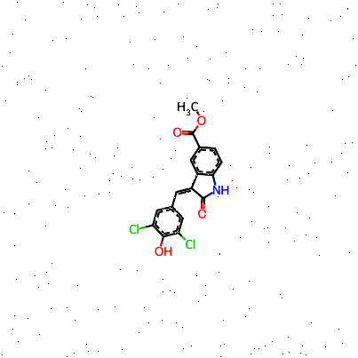 COC(=O)c1ccc2c(c1)C(=Cc1cc(Cl)c(O)c(Cl)c1)C(=O)N2